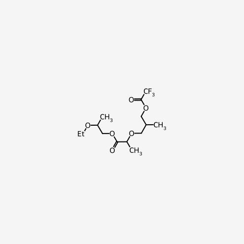 CCOC(C)COC(=O)C(C)OCC(C)COC(=O)C(F)(F)F